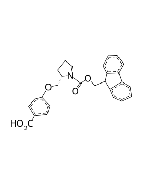 O=C(O)c1ccc(OC[C@@H]2CCCN2C(=O)OCC2c3ccccc3-c3ccccc32)cc1